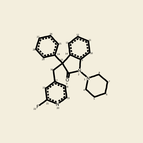 O=C1N(N2CCCCC2)c2ccccc2C1(Cc1ccnc(F)c1)c1ccccc1